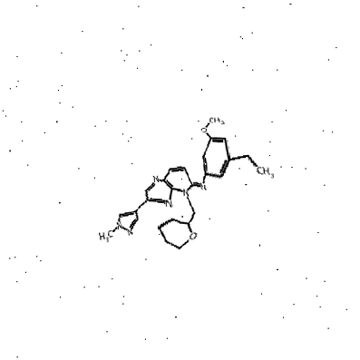 CCc1cc(/N=c2\ccc3ncc(-c4cnn(C)c4)nc3n2CC2CCCCO2)cc(OC)c1